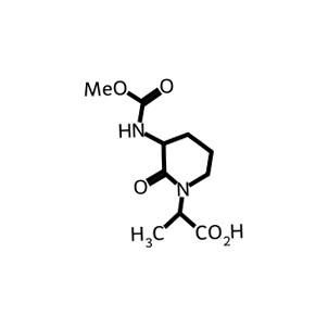 COC(=O)NC1CCCN(C(C)C(=O)O)C1=O